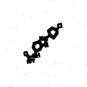 CCCC(=O)Nc1ccc2nn(-c3ccc(Cl)cc3)nc2c1